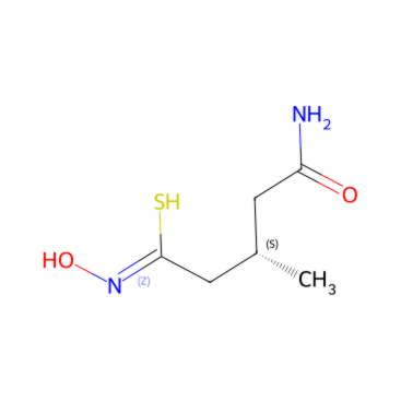 C[C@@H](CC(N)=O)C/C(S)=N/O